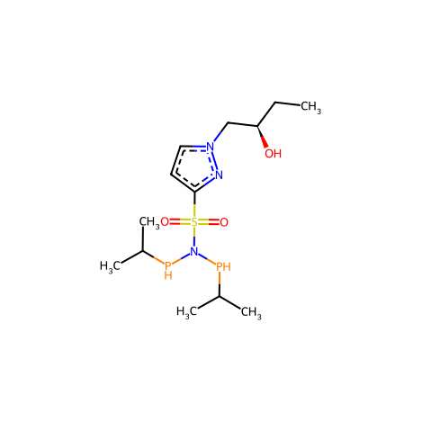 CC[C@@H](O)Cn1ccc(S(=O)(=O)N(PC(C)C)PC(C)C)n1